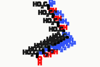 NCC(=O)O.NCC(=O)O.NCC(=O)O.NCC(=O)O.NCC(=O)O.NCC(=O)O.N[C@@H](CO)C(=O)O.N[C@@H](CO)C(=O)O.N[C@@H](CO)C(=O)O.N[C@@H](CO)C(=O)O.N[C@@H](CO)C(=O)O.N[C@@H](CO)C(=O)O